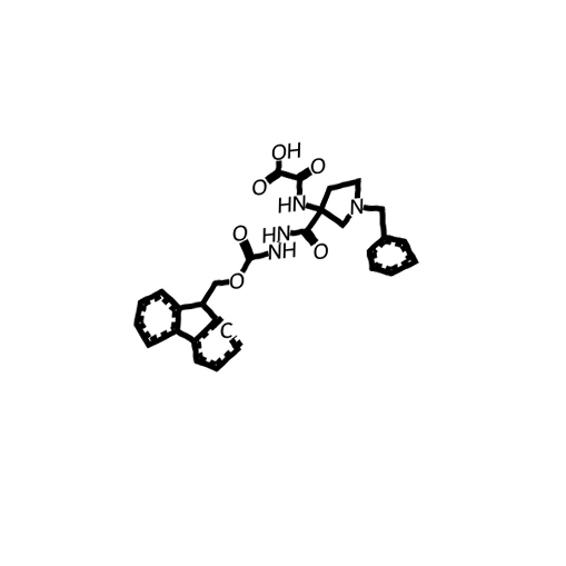 O=C(NNC(=O)C1(NC(=O)C(=O)O)CCN(Cc2ccccc2)C1)OCC1c2ccccc2-c2ccccc21